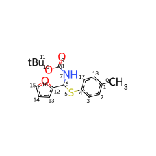 Cc1ccc(SC(NC(=O)OC(C)(C)C)c2ccco2)cc1